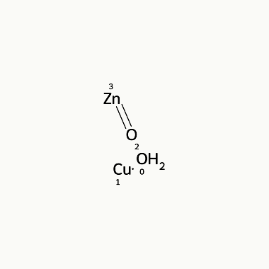 O.[Cu].[O]=[Zn]